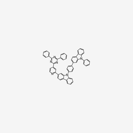 c1ccc(-c2nc(-c3ccccc3)nc(-c3ccnc(-c4ccc5c6ccccc6n(-c6ccc(-c7ccc8c9ccccc9n(-c9ccccc9)c8c7)cc6)c5c4)c3)n2)cc1